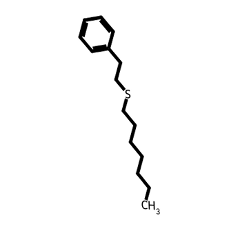 CCCCCCCSCCc1ccccc1